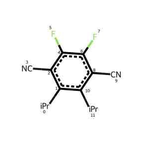 CC(C)c1c(C#N)c(F)c(F)c(C#N)c1C(C)C